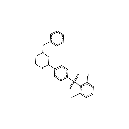 O=S(=O)(c1ccc(C2CN(Cc3ccccc3)CCO2)cc1)c1c(Cl)cccc1Cl